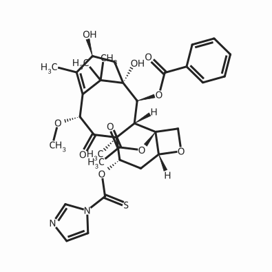 CO[C@H]1C(=O)[C@]2(C)[C@@H](OC(=S)n3ccnc3)C[C@H]3OC[C@@]3(OC(C)=O)[C@H]2[C@H](OC(=O)c2ccccc2)[C@]2(O)C[C@H](O)C(C)=C1C2(C)C